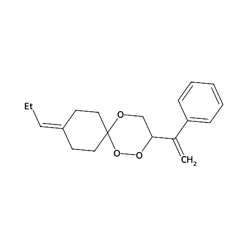 C=C(c1ccccc1)C1COC2(CCC(=CCC)CC2)OO1